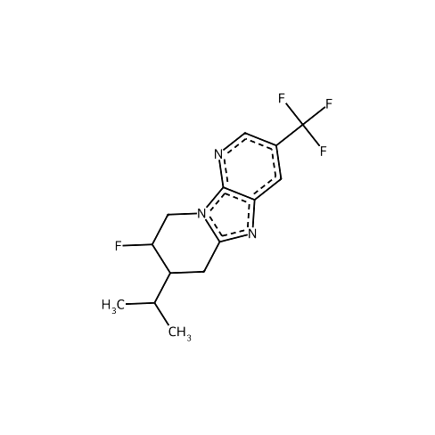 CC(C)C1Cc2nc3cc(C(F)(F)F)cnc3n2CC1F